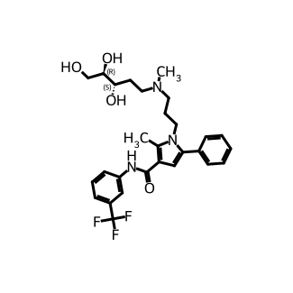 Cc1c(C(=O)Nc2cccc(C(F)(F)F)c2)cc(-c2ccccc2)n1CCCN(C)CC[C@H](O)[C@H](O)CO